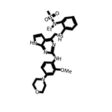 CCN(c1ccccc1[AsH]Cc1nc(Nc2ccc(N3CCOCC3)cc2OC)nc2[nH]ccc12)S(C)(=O)=O